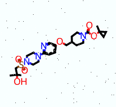 CC(C)(O)CS(=O)(=O)N1CCN(c2ccc(OCC3CCN(C(=O)OC4(C)CC4)CC3)cn2)CC1